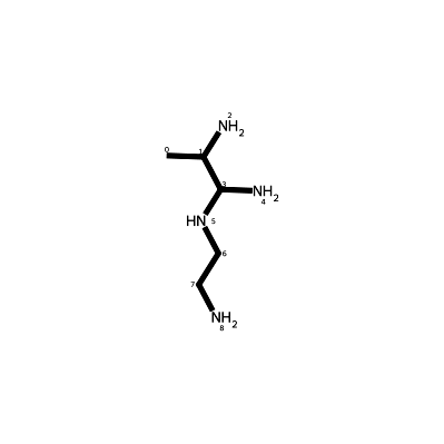 CC(N)C(N)NCCN